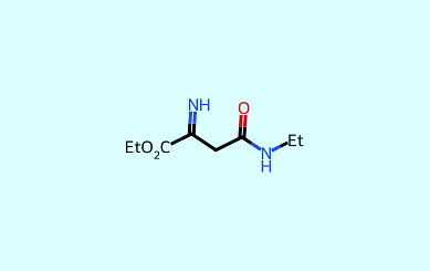 CCNC(=O)CC(=N)C(=O)OCC